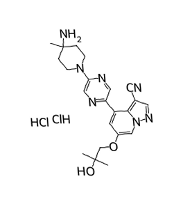 CC(C)(O)COc1cc(-c2cnc(N3CCC(C)(N)CC3)cn2)c2c(C#N)cnn2c1.Cl.Cl